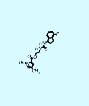 Cc1cc(C(=O)OCCNC(=S)NC2CCc3c(F)cccc32)n(C(C)(C)C)n1